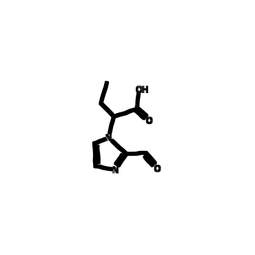 CCC(C(=O)O)n1ccnc1C=O